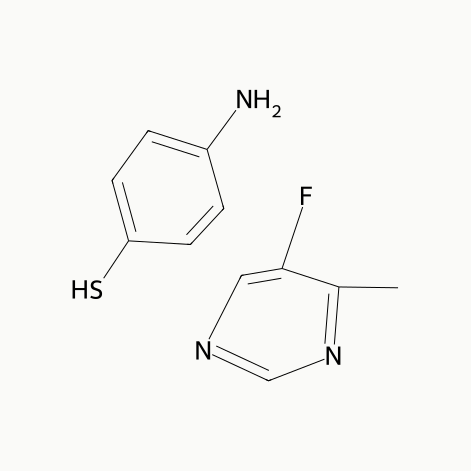 Cc1ncncc1F.Nc1ccc(S)cc1